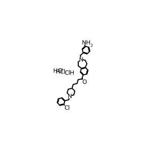 Cl.Cl.Cl.Nc1cccc(CN2CCc3ccc(C(=O)CCCC4CCN(Cc5ccccc5Cl)CC4)cc3CC2)c1